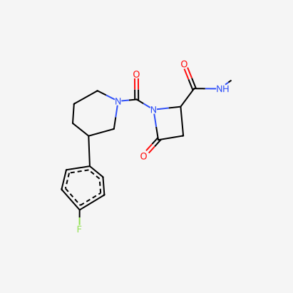 CNC(=O)C1CC(=O)N1C(=O)N1CCCC(c2ccc(F)cc2)C1